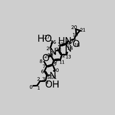 CCCC(O)c1cc(C)c(-c2cc3cnc(NC(=O)C4CC4)cc3n(CCO)c2=O)cn1